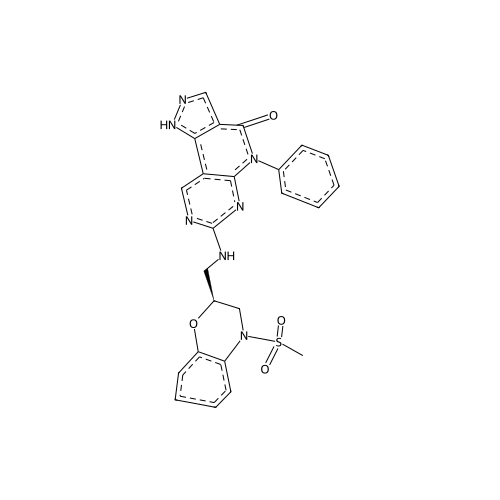 CS(=O)(=O)N1C[C@H](CNc2ncc3c4[nH]ncc4c(=O)n(-c4ccccc4)c3n2)Oc2ccccc21